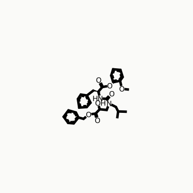 COc1ccccc1OC(=O)[C@H](Cc1ccccc1)NC(=O)N(CC(C)C)CC(O)C(=O)OCc1ccccc1